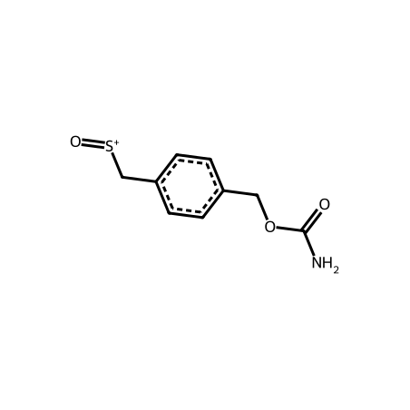 NC(=O)OCc1ccc(C[S+]=O)cc1